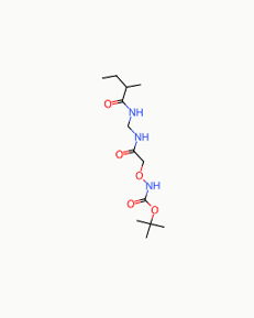 CCC(C)C(=O)NCNC(=O)CONC(=O)OC(C)(C)C